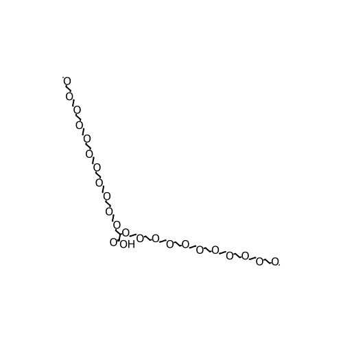 COCCOCCOCCOCCOCCOCCOCCOCCOCCOCCOCC(OCCOCCOCCOCCOCCOCCOCCOCCOCCOCCOC)C(=O)O